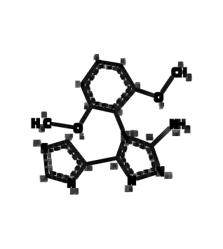 COc1cccc(OC)c1-n1c(N)nnc1-c1cscn1